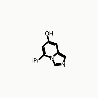 CC(C)c1cc(O)cc2cncn12